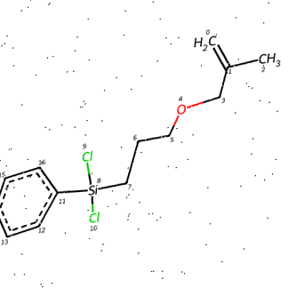 C=C(C)COCCC[Si](Cl)(Cl)c1ccccc1